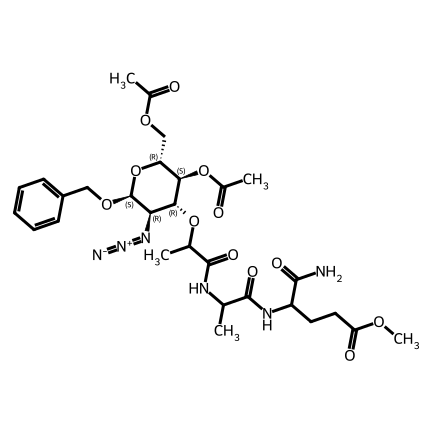 COC(=O)CCC(NC(=O)C(C)NC(=O)C(C)O[C@@H]1[C@@H](N=[N+]=[N-])[C@@H](OCc2ccccc2)O[C@H](COC(C)=O)[C@H]1OC(C)=O)C(N)=O